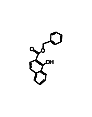 O=C(OCc1ccccc1)c1ccc2ccccc2c1O